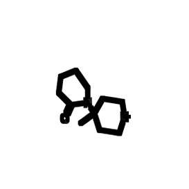 CC1(N2CCCCC2=O)CC[N]CC1